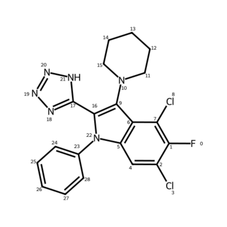 Fc1c(Cl)cc2c(c1Cl)c(N1CCCCC1)c(-c1nnn[nH]1)n2-c1ccccc1